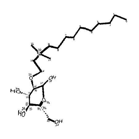 CCCCCCCCCC[Si](C)(C)CCO[C@H]1C(O)O[C@H](CO)[C@@H](O)[C@@H]1O